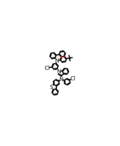 CC(C)(C)c1ccc(N(c2cc(Cl)cc(-n3cc(N(c4cccc(Cl)c4)c4ccc5sc6ccccc6c5c4)c4ccccc43)c2)c2ccccc2-c2ccccc2)cc1